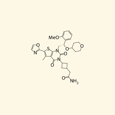 COc1ccccc1[C@@H](Cn1c(=O)n(C2CC(CC(N)=O)C2)c(=O)c2c(C)c(-c3ncco3)sc21)OC1CCOCC1